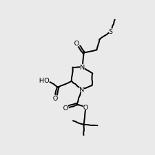 CSCCC(=O)N1CCN(C(=O)OC(C)(C)C)C(C(=O)O)C1